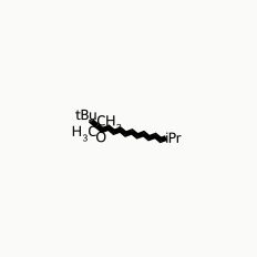 CC(C)CCCCCCCCCCC(=O)C(C)(C)CC(C)(C)C